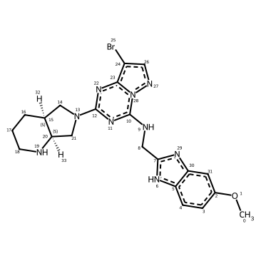 COc1ccc2[nH]c(CNc3nc(N4C[C@@H]5CCCN[C@@H]5C4)nc4c(Br)cnn34)nc2c1